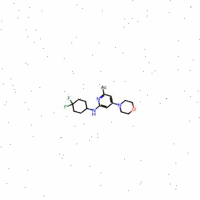 CC(=O)c1cc(N2CCOCC2)cc(NC2CCC(F)(F)CC2)n1